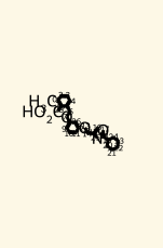 Cc1cccc(COc2cccc(OCc3coc(C4CCCCC4)n3)c2)c1C(=O)O